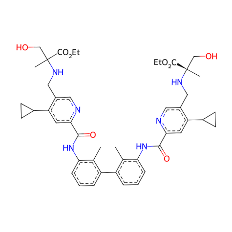 CCOC(=O)C(C)(CO)NCc1cnc(C(=O)Nc2cccc(-c3cccc(NC(=O)c4cc(C5CC5)c(CN[C@@](C)(CO)C(=O)OCC)cn4)c3C)c2C)cc1C1CC1